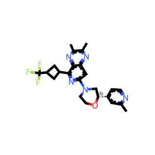 Cc1cc([C@H]2CN(c3cc4nc(C)c(C)nc4c(C4CC(C(F)(F)F)C4)n3)CCO2)ccn1